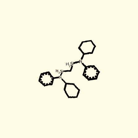 c1ccc(N([SiH2]C[SiH2]N(c2ccccc2)C2CCCCC2)C2CCCCC2)cc1